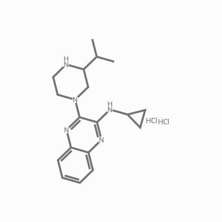 CC(C)C1CN(c2nc3ccccc3nc2NC2CC2)CCN1.Cl.Cl